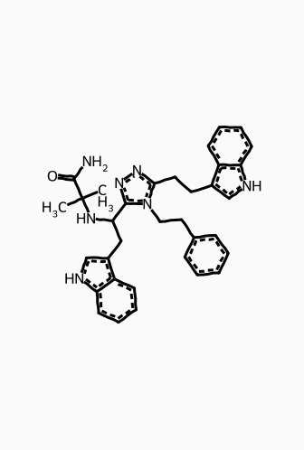 CC(C)(NC(Cc1c[nH]c2ccccc12)c1nnc(CCc2c[nH]c3ccccc23)n1CCc1ccccc1)C(N)=O